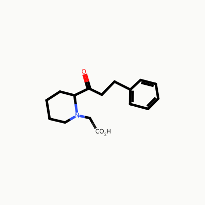 O=C(O)CN1CCCCC1C(=O)CCc1ccccc1